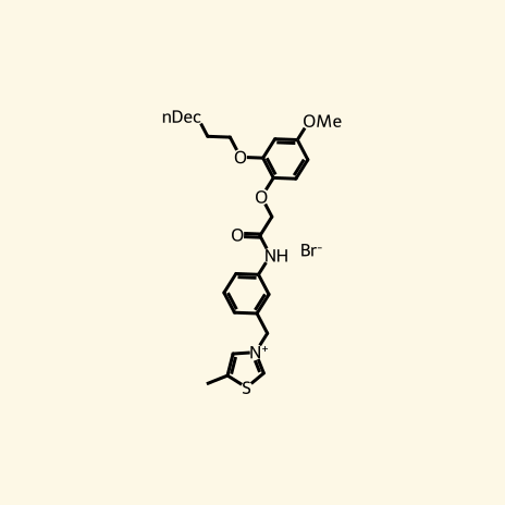 CCCCCCCCCCCCOc1cc(OC)ccc1OCC(=O)Nc1cccc(C[n+]2csc(C)c2)c1.[Br-]